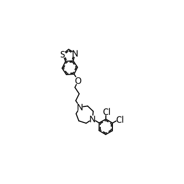 Clc1cccc(N2CCCN(CCCOc3ccc4scnc4c3)CC2)c1Cl